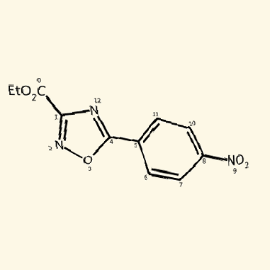 CCOC(=O)c1noc(-c2ccc([N+](=O)[O-])cc2)n1